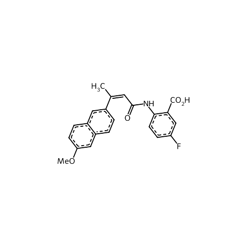 COc1ccc2cc(/C(C)=C\C(=O)Nc3ccc(F)cc3C(=O)O)ccc2c1